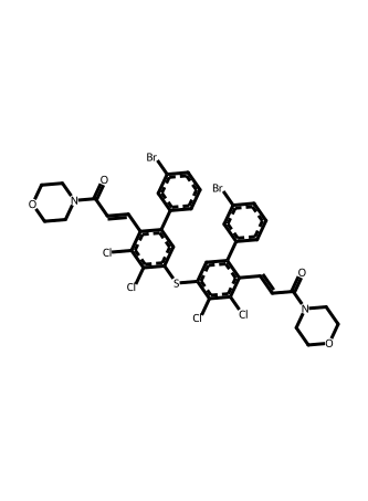 O=C(/C=C/c1c(-c2cccc(Br)c2)cc(Sc2cc(-c3cccc(Br)c3)c(/C=C/C(=O)N3CCOCC3)c(Cl)c2Cl)c(Cl)c1Cl)N1CCOCC1